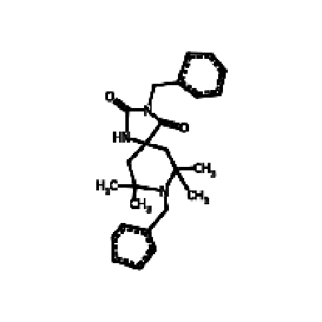 CC1(C)CC2(CC(C)(C)N1Cc1ccccc1)NC(=O)N(Cc1ccccc1)C2=O